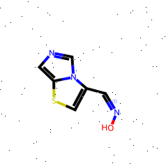 O/N=C\c1csc2cncn12